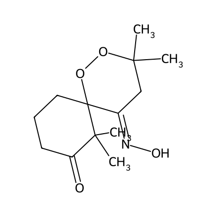 CC1(C)CC(=NO)C2(CCCC(=O)C2(C)C)OO1